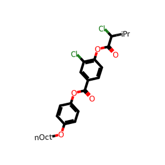 CCCCCCCCOc1ccc(OC(=O)c2ccc(OC(=O)C(Cl)C(C)C)c(Cl)c2)cc1